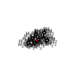 Bc1c(B)c(B)c(-c2nc(-c3c(B)c(B)c(B)c(B)c3B)nc(-c3c(B)c(B)c(B)c(-n4c5c(B)c(B)c(B)c(B)c5c5c(B)c(B)c6c(c7c(B)c(B)c(B)c(B)c7n6-c6c(B)c(B)c(B)c(B)c6B)c54)c3B)n2)c(B)c1B